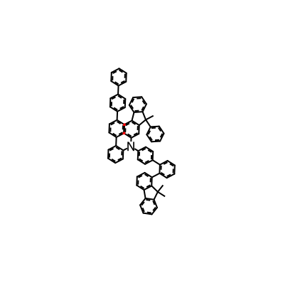 CC1(C)c2ccccc2-c2cccc(-c3ccccc3-c3ccc(N(c4ccc5c(c4)C(C)(c4ccccc4)c4ccccc4-5)c4ccccc4-c4ccc(-c5ccc(-c6ccccc6)cc5)cc4)cc3)c21